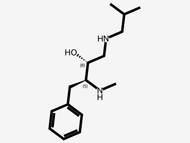 CN[C@@H](Cc1ccccc1)[C@H](O)CNCC(C)C